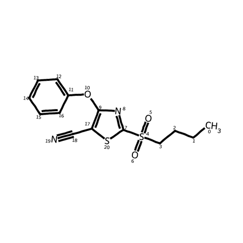 CCCCS(=O)(=O)c1nc(Oc2ccccc2)c(C#N)s1